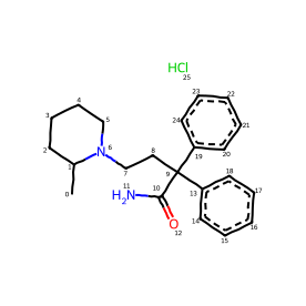 CC1CCCCN1CCC(C(N)=O)(c1ccccc1)c1ccccc1.Cl